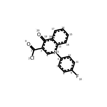 O=C(Cl)c1cn(-c2ccc(F)cc2)c2ccccc2c1=O